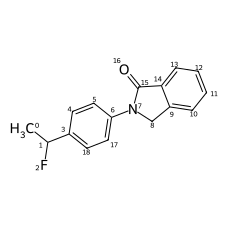 CC(F)c1ccc(N2Cc3ccccc3C2=O)cc1